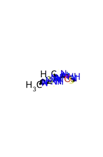 Cc1cn2c(-c3cnn(CC(=O)Nc4nccs4)c3)cnc2c(Nc2cc(CN3CCCC(C)C3)ns2)n1